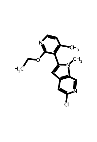 CCOc1nccc(C)c1-c1cc2cc(Cl)ncc2n1C